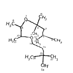 CC(N)CC(C)(C)OC(C)C(C)OCCC(C)(C)O